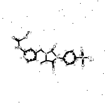 CC(C)OC(=O)Nc1cc(CN2C(=O)N(c3ccc(S(=O)(=O)C(F)(F)F)cc3)C(=O)C2C)ccn1